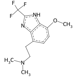 COc1ccc(CCN(C)C)c2nc(C(F)(F)F)[nH]c12